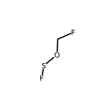 FCOSF